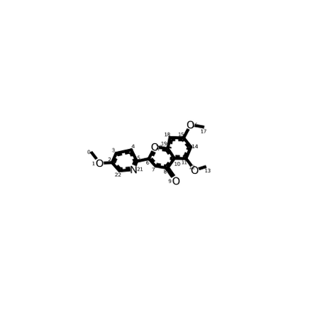 COc1ccc(-c2cc(=O)c3c(OC)cc(OC)cc3o2)nc1